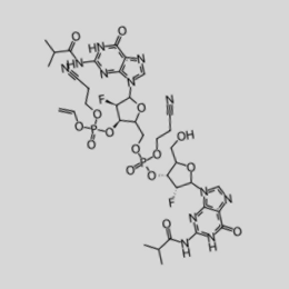 C=COP(=O)(OCCC#N)O[C@@H]1C(COP(=O)(OCCC#N)O[C@@H]2C(CO)OC(n3cnc4c(=O)[nH]c(NC(=O)C(C)C)nc43)[C@@H]2F)OC(n2cnc3c(=O)[nH]c(NC(=O)C(C)C)nc32)[C@@H]1F